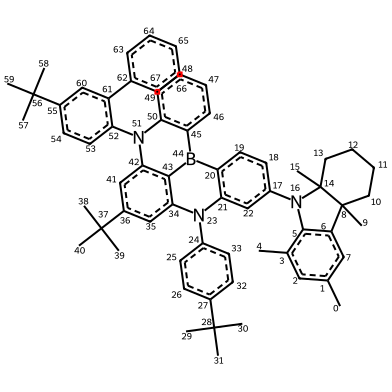 Cc1cc(C)c2c(c1)C1(C)CCCCC1(C)N2c1ccc2c(c1)N(c1ccc(C(C)(C)C)cc1)c1cc(C(C)(C)C)cc3c1B2c1ccccc1N3c1ccc(C(C)(C)C)cc1-c1ccccc1